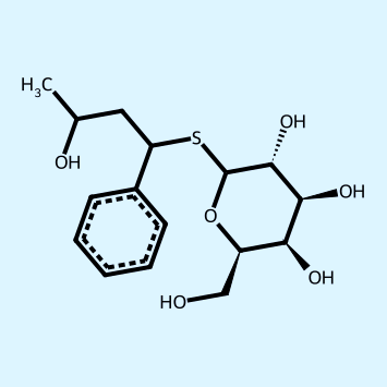 CC(O)CC(SC1O[C@H](CO)[C@H](O)[C@H](O)[C@H]1O)c1ccccc1